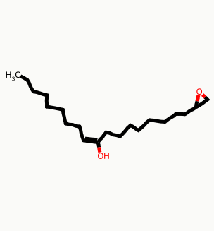 CCCCCCCC/C=C(/O)CCCCCCCCC1CO1